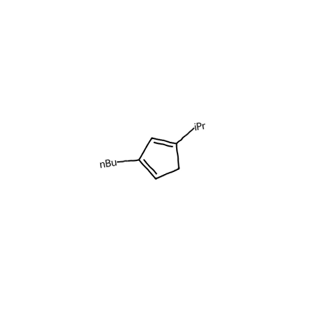 CCCCC1=CCC(C(C)C)=C1